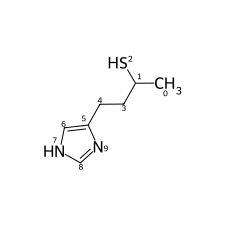 CC(S)CCc1c[nH]cn1